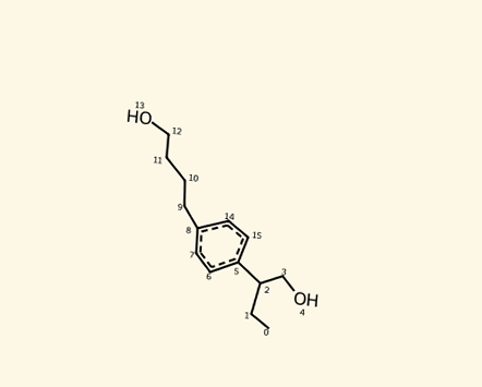 CCC(CO)c1ccc(CCCCO)cc1